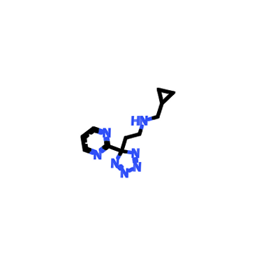 c1cnc(C2(CCNCC3CC3)N=NN=N2)nc1